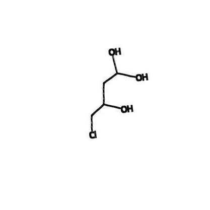 OC(O)CC(O)CCl